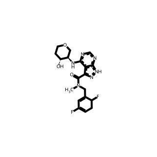 CN(CC1=CC(F)=CCC1F)C(=O)c1n[nH]c2ncnc(N[C@@H]3COCC[C@H]3O)c12